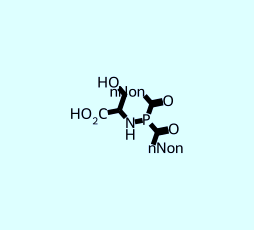 CCCCCCCCCC(=O)P(NC(CO)C(=O)O)C(=O)CCCCCCCCC